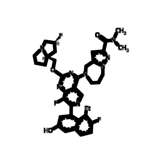 CCc1c(F)ccc2cc(O)cc(-c3ncc4c(N5CCCn6nc(C(=O)N(C)C)cc6C5)nc(OC[C@@]56CCCN5C[C@H](F)C6)nc4c3F)c12